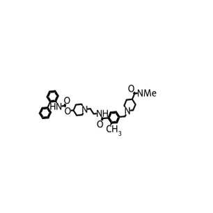 CNC(=O)C1CCN(Cc2ccc(C(=O)NCCN3CCC(OC(=O)Nc4ccccc4-c4ccccc4)CC3)c(C)c2)CC1